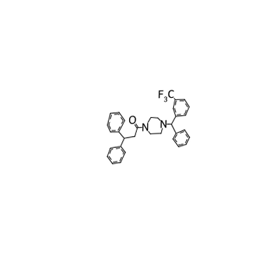 O=C(CC(c1ccccc1)c1ccccc1)N1CCN(C(c2ccccc2)c2cccc(C(F)(F)F)c2)CC1